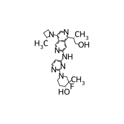 C[C@H](CO)c1ncc(N2CC[C@H]2C)c2cnc(Nc3ccnc(N4CC[C@@H](O)[C@@](C)(F)C4)n3)cc12